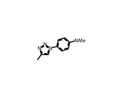 CNc1ccc(-n2cc(C)nn2)cc1